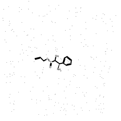 C=CCO[14C](=O)C(O)[C@H](N)c1ccccc1